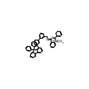 CN/C(=N\C(=N/Cc1cccc(-c2cccc(-c3cccc4c3C(c3ccccc3)(c3ccccc3)c3ccccc3-4)c2)c1)c1ccccc1)C1=CC=CCC1